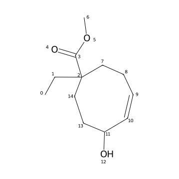 CCC1(C(=O)OC)CC/C=C\C(O)CC1